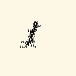 C=CC(=O)NC1C(C)CN(S(=O)(=O)c2ccc(NC(=O)c3cc4c([nH]3)CCCC4)cc2)CC1C